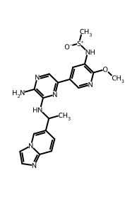 COc1ncc(-c2cnc(N)c(NC(C)c3ccc4nccn4c3)n2)cc1N[S+](C)[O-]